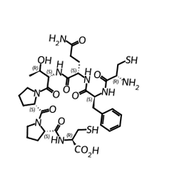 C[C@@H](O)[C@H](NC(=O)[C@H](CCC(N)=O)NC(=O)[C@H](Cc1ccccc1)NC(=O)[C@@H](N)CS)C(=O)N1CCC[C@H]1C(=O)N1CCC[C@H]1C(=O)N[C@@H](CS)C(=O)O